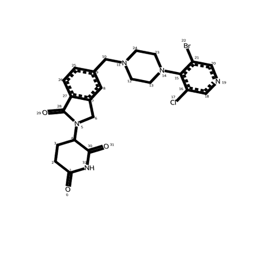 O=C1CCC(N2Cc3cc(CN4CCN(c5c(Cl)cncc5Br)CC4)ccc3C2=O)C(=O)N1